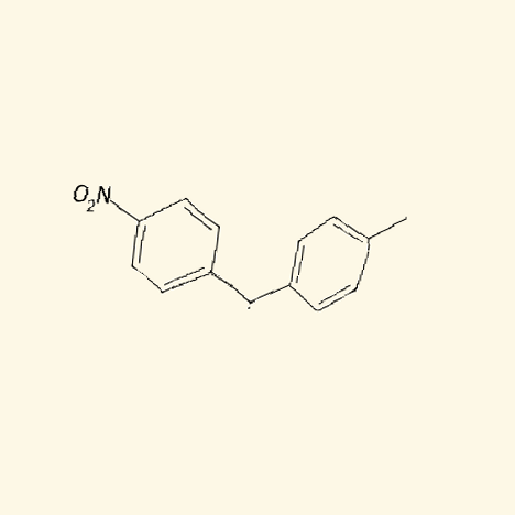 Cc1ccc([CH]c2ccc([N+](=O)[O-])cc2)cc1